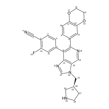 N#Cc1ccc(-c2c(-c3ccc4c(c3)OCCO4)ncc3c2ncn3C[C@H]2CCNC2)cc1F